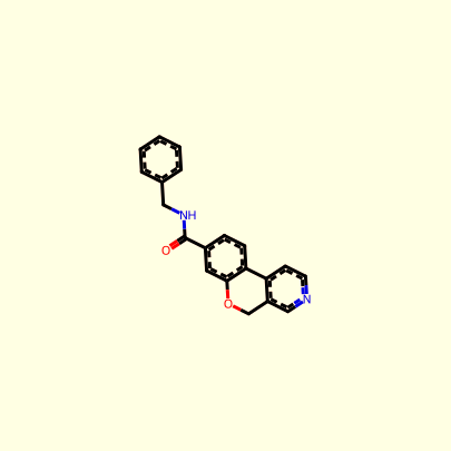 O=C(NCc1ccccc1)c1ccc2c(c1)OCc1cnccc1-2